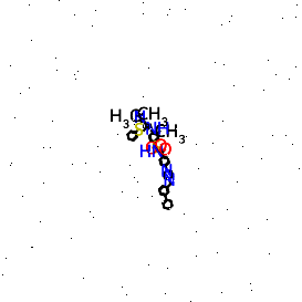 Cc1cc(S(=O)(=O)NC(=O)c2ccc(N3CCN(Cc4cccc(C5=CCCCC5)c4)CC3)cc2)ccc1N[C@H](CCN(C)C)CSC1=CCCC=C1